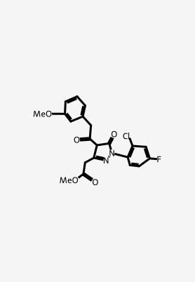 COC(=O)CC1=NN(c2ccc(F)cc2Cl)C(=O)C1C(=O)Cc1cccc(OC)c1